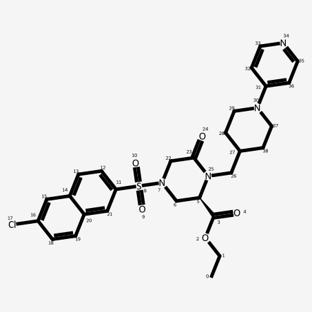 CCOC(=O)[C@H]1CN(S(=O)(=O)c2ccc3cc(Cl)ccc3c2)CC(=O)N1CC1CCN(c2ccncc2)CC1